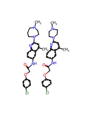 Cc1cc(N2CCCN(C)CC2)nc2ccc(NC(=O)COc3ccc(Cl)cc3)cc12.Cc1cc(N2CCN(C)CC2)nc2ccc(NC(=O)COc3ccc(Cl)cc3)cc12